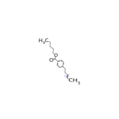 C/C=C/CCc1ccc(C(=O)OCCCCC)cc1